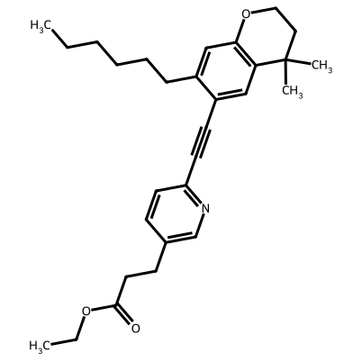 CCCCCCc1cc2c(cc1C#Cc1ccc(CCC(=O)OCC)cn1)C(C)(C)CCO2